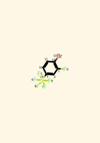 Fc1cc(S(F)(F)(F)(F)F)ccc1Br